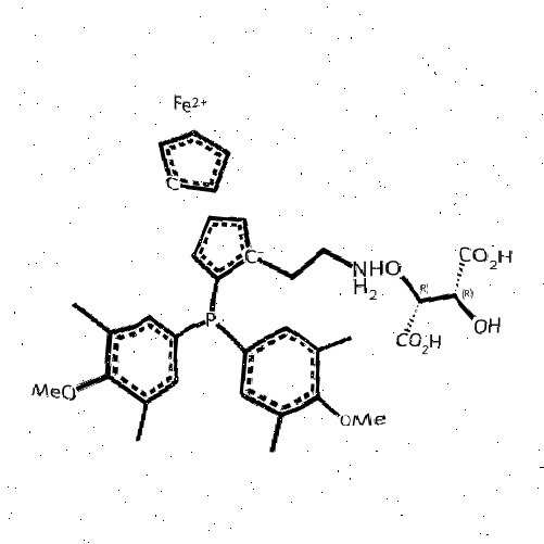 COc1c(C)cc(P(c2cc(C)c(OC)c(C)c2)c2ccc[c-]2CCN)cc1C.O=C(O)[C@H](O)[C@@H](O)C(=O)O.[Fe+2].c1cc[cH-]c1